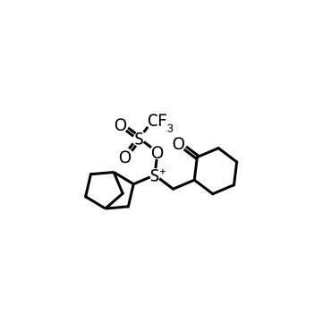 O=C1CCCCC1C[S+](OS(=O)(=O)C(F)(F)F)C1CC2CCC1C2